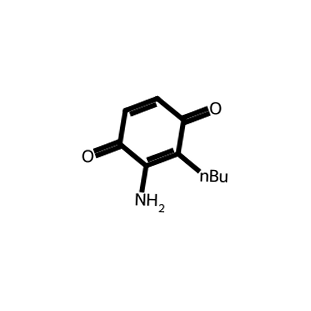 CCCCC1=C(N)C(=O)C=CC1=O